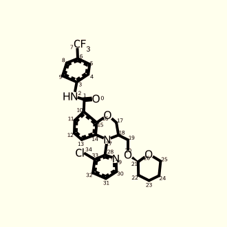 O=C(Nc1ccc(C(F)(F)F)cc1)c1cccc2c1OCC(CO[C@@H]1CCCCO1)N2c1ncccc1Cl